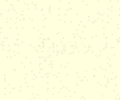 CC(c1ccc(O)cc1)c1c(O)cc(O)cc1P(=O)(O)O